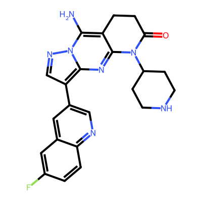 Nc1c2c(nc3c(-c4cnc5ccc(F)cc5c4)cnn13)N(C1CCNCC1)C(=O)CC2